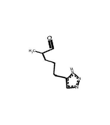 CC(C=O)CCCc1cnn[nH]1